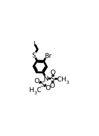 CS(=O)(=O)N(c1ccc(SCI)c(Br)c1)S(C)(=O)=O